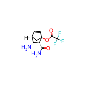 NC(=O)[C@@H]1[C@H](N)[C@H]2C=C[C@@]1(OC(=O)C(F)(F)F)C2